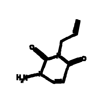 C=CCn1c(=O)ccn(N)c1=O